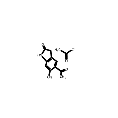 CC(=O)Cl.CC(=O)c1cc2c(cc1O)NC(=O)C2